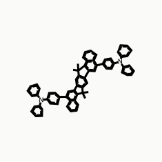 CC1(C)c2cc3c(cc2-c2cc(-c4ccc(N(c5ccccc5)c5ccccc5)cc4)c4ccccc4c21)C(C)(C)c1c-3cc(-c2ccc(N(c3ccccc3)c3ccccc3)cc2)c2ccccc12